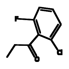 CCC(=O)c1c(F)cccc1Cl